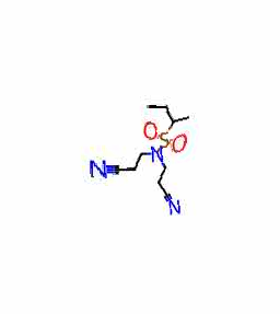 CCC(C)S(=O)(=O)N(CCC#N)CCC#N